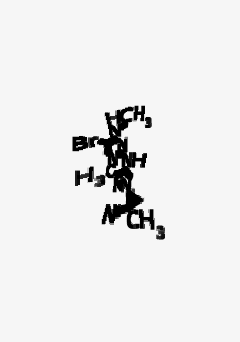 CCNc1nc(Nc2cn([C@H]3CC3(C)C#N)nc2C)ncc1Br